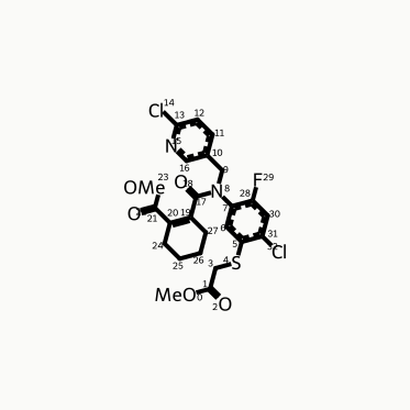 COC(=O)CSc1cc(N(Cc2ccc(Cl)nc2)C(=O)C2=C(C(=O)OC)CCCC2)c(F)cc1Cl